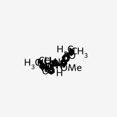 COc1cc2c(cc1Nc1ncc(Cl)c(Nc3ccccc3S(=O)(=O)N3CCC(N(C)C)C3)n1)CCN(CC(=O)N(C)C)CC2